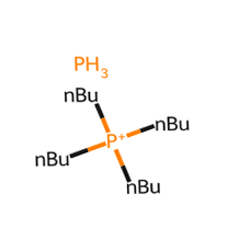 CCCC[P+](CCCC)(CCCC)CCCC.P